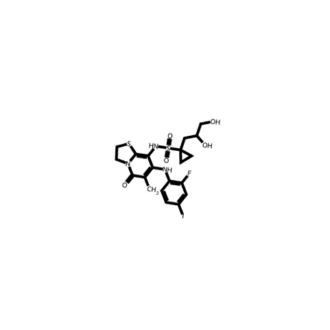 Cc1c(Nc2ccc(I)cc2F)c(NS(=O)(=O)C2(CC(O)CO)CC2)c2n(c1=O)CCS2